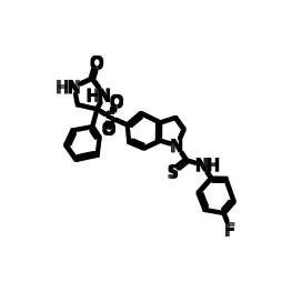 O=C1NCC(c2ccccc2)(S(=O)(=O)c2ccc3c(c2)CCN3C(=S)Nc2ccc(F)cc2)N1